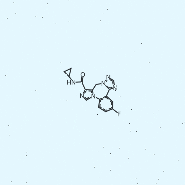 O=C(NC1CC1)c1ncn2c1Cn1ncnc1-c1cc(F)ccc1-2